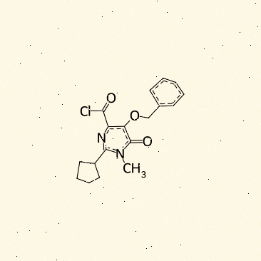 Cn1c(C2CCCC2)nc(C(=O)Cl)c(OCc2ccccc2)c1=O